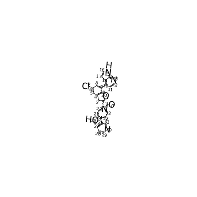 O=C([C@@H]1Cc2cc(Cl)cc(-c3ccnc4[nH]ccc34)c2O1)N1CCC(O)(c2cccnc2)CC1